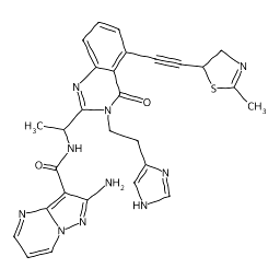 CC1=NCC(C#Cc2cccc3nc(C(C)NC(=O)c4c(N)nn5cccnc45)n(CCc4c[nH]cn4)c(=O)c23)S1